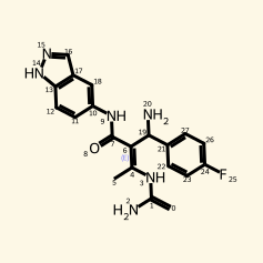 C=C(N)N/C(C)=C(/C(=O)Nc1ccc2[nH]ncc2c1)C(N)c1ccc(F)cc1